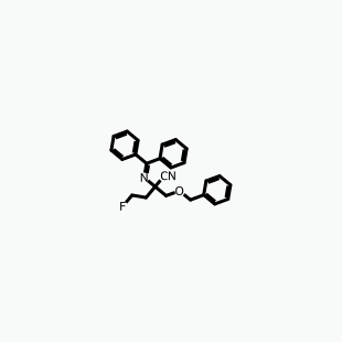 N#CC(CCF)(COCc1ccccc1)N=C(c1ccccc1)c1ccccc1